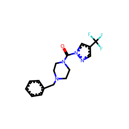 O=C(N1CCN(Cc2ccccc2)CC1)n1cc(C(F)(F)F)cn1